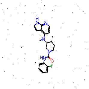 C[C@@H]1CCN(C(=O)Nc2ccccc2F)C[C@@H]1N(C)c1ccnc2[nH]ccc12